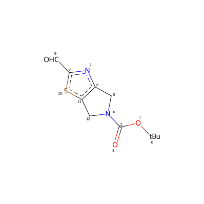 CC(C)(C)OC(=O)N1Cc2nc(C=O)sc2C1